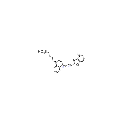 C[n+]1cccc2oc(/C=C/C=C3\C=CN(CCCCS(=O)(=O)O)c4ccccc43)nc21